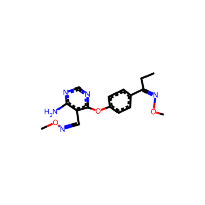 CC/C(=N/OC)c1ccc(Oc2ncnc(N)c2/C=N\OC)cc1